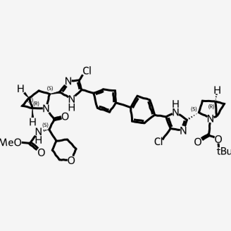 COC(=O)N[C@H](C(=O)N1[C@@H]2C[C@@H]2C[C@H]1c1nc(Cl)c(-c2ccc(-c3ccc(-c4[nH]c([C@@H]5C[C@H]6CC6N5C(=O)OC(C)(C)C)nc4Cl)cc3)cc2)[nH]1)C1CCOCC1